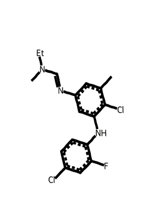 CCN(C)C=Nc1cc(C)c(Cl)c(Nc2ccc(Cl)cc2F)c1